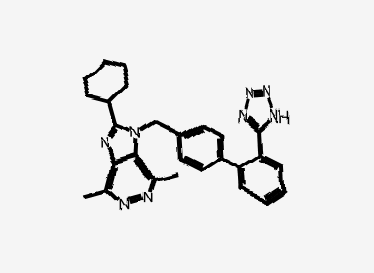 Cc1nnc(C)c2c1nc(C1CCCCC1)n2Cc1ccc(-c2ccccc2-c2nnn[nH]2)cc1